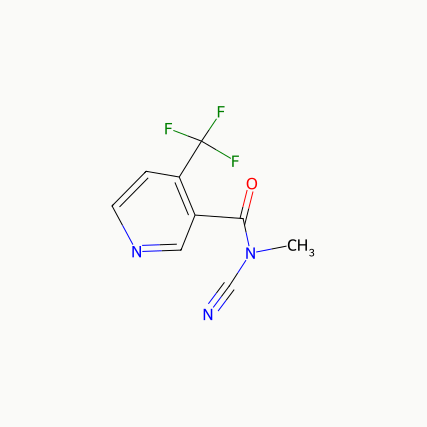 CN(C#N)C(=O)c1cnccc1C(F)(F)F